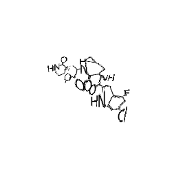 COC(=O)C(C[C@@H]1CCCNC1=O)NC(=O)C(CC1CC1)NC(=O)c1cc2c(F)cc(Cl)cc2[nH]1